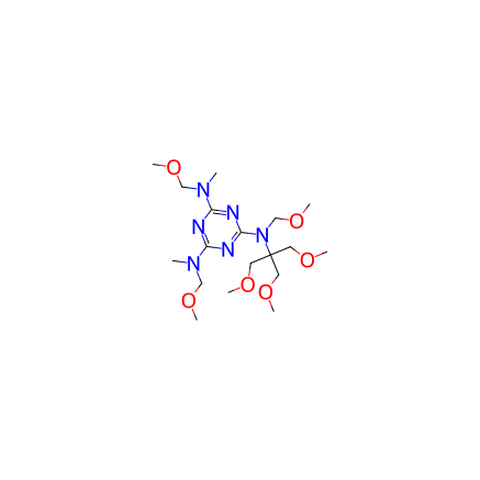 COCN(C)c1nc(N(C)COC)nc(N(COC)C(COC)(COC)COC)n1